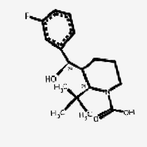 CC(C)(C)[C@H]1C([C@@H](O)c2cccc(F)c2)CCCN1C(=O)O